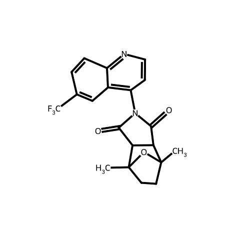 CC12CCC(C)(O1)C1C(=O)N(c3ccnc4ccc(C(F)(F)F)cc34)C(=O)C12